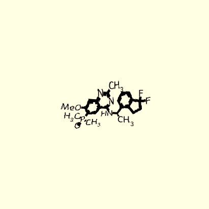 COc1cc2nc(C)nc(N[C@H](C)c3cccc4c3CCC4(F)F)c2cc1P(C)(C)=O